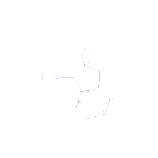 N[C]1c2ccccc2CC1O